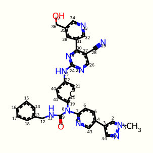 Cn1cc(-c2ccc(N(C(=O)NCc3ccccc3)c3ccc(Nc4ncc(C#N)c(-c5cncc(CO)c5)n4)cc3)nc2)cn1